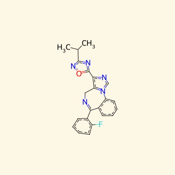 CC(C)c1noc(-c2ncn3c2CN=C(c2ccccc2F)c2ccccc2-3)n1